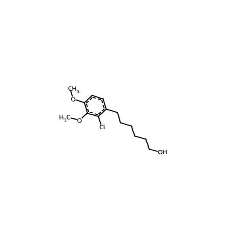 COc1ccc(CCCCCCO)c(Cl)c1OC